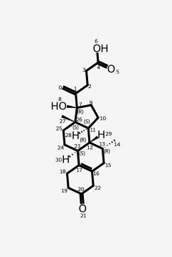 C=C(CCC(=O)O)[C@]1(O)CC[C@H]2[C@@H]3[C@H](C)CC4=C(CCC(=O)C4)[C@H]3CC[C@@]21C